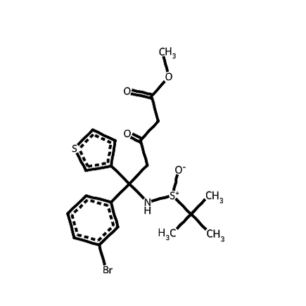 COC(=O)CC(=O)CC(N[S+]([O-])C(C)(C)C)(c1ccsc1)c1cccc(Br)c1